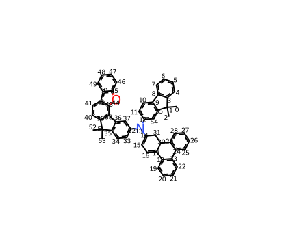 CC1(C)c2ccccc2-c2ccc(N(C3=CC=C4c5ccccc5-c5ccccc5C4C3)c3ccc4c(c3)-c3c(ccc5c3oc3ccccc35)C4(C)C)cc21